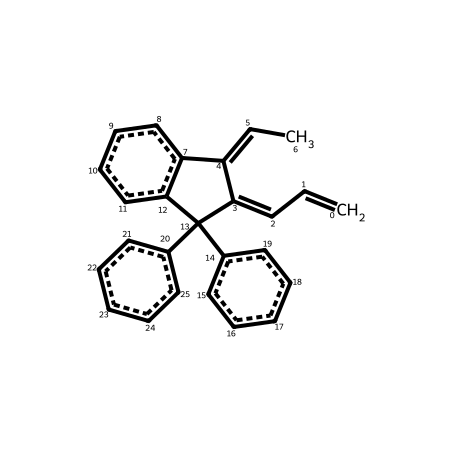 C=C/C=C1\C(=C/C)c2ccccc2C1(c1ccccc1)c1ccccc1